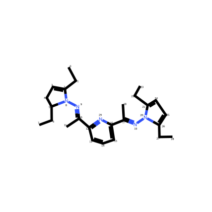 CCC1=CCC(CC)N1/N=C(\C)c1cccc(/C(C)=N/n2c(CC)ccc2CC)n1